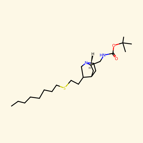 CCCCCCCCSCCC1CN2CCC1C[C@H]2CNC(=O)OC(C)(C)C